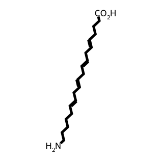 NCCCCCC=CCC=CCC=CCC=CCCCC(=O)O